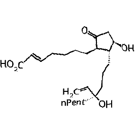 C=C[C@@](O)(CCCCC)CCC[C@H]1[C@H](O)CC(=O)[C@@H]1CCCCC=CC(=O)O